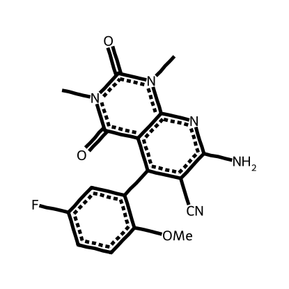 COc1ccc(F)cc1-c1c(C#N)c(N)nc2c1c(=O)n(C)c(=O)n2C